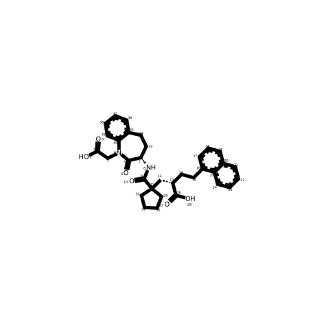 O=C(O)CN1C(=O)[C@@H](NC(=O)C2(C[C@H](CCc3cccc4ccccc34)C(=O)O)CCCC2)CCc2ccccc21